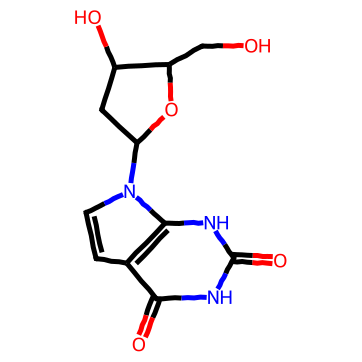 O=c1[nH]c(=O)c2ccn(C3CC(O)C(CO)O3)c2[nH]1